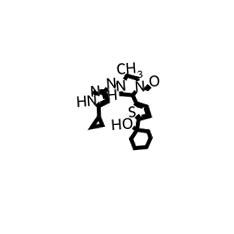 CC1CN(C=O)C(c2ccc(C3(O)CCCCC3)s2)CN1Nc1cc(C2CC2)[nH]n1